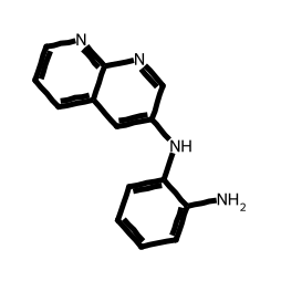 Nc1ccccc1Nc1cnc2ncccc2c1